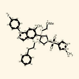 COCC[C@]1(c2cc3cnn(-c4ccc(F)cc4)c3cc2C)CN(S(=O)(=O)c2cnn(C)c2)C[C@@H]1CCCc1ccccc1